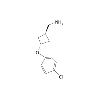 NC[C@H]1C[C@H](Oc2ccc(Cl)cc2)C1